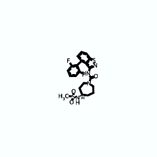 CS(=O)(=O)N[C@H]1CCCN(C(=O)Nc2nsc3cccc(-c4c(F)cccc4F)c23)CC1